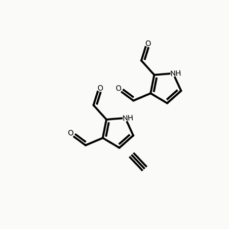 C#C.O=Cc1cc[nH]c1C=O.O=Cc1cc[nH]c1C=O